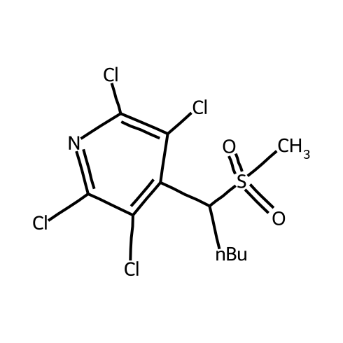 CCCCC(c1c(Cl)c(Cl)nc(Cl)c1Cl)S(C)(=O)=O